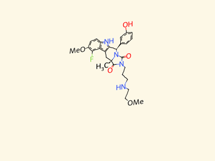 COCCNCCCN1C(=O)N2[C@H](c3cccc(O)c3)c3[nH]c4ccc(OC)c(F)c4c3C[C@@]2(C)C1=O